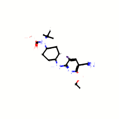 CCOc1nc(NC2CCC(N(C(=O)O)C(C)(C)C)CC2)c(I)cc1C#N